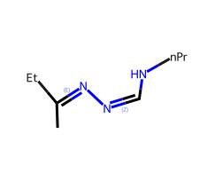 CCCN/C=N\N=C(/C)CC